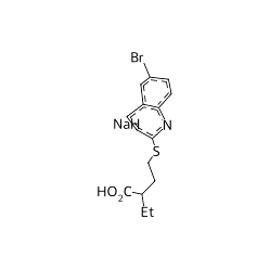 CCC(CCSc1ccc2cc(Br)ccc2n1)C(=O)O.[NaH]